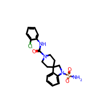 NS(=O)(=O)N1CC2(CCN(C(=O)Nc3ccccc3Cl)CC2)c2ccccc21